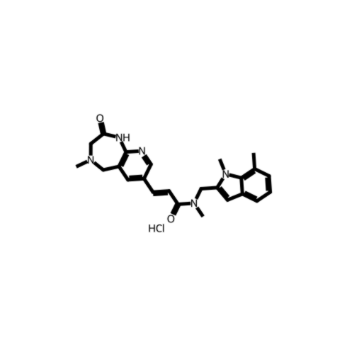 Cc1cccc2cc(CN(C)C(=O)/C=C/c3cnc4c(c3)CN(C)CC(=O)N4)n(C)c12.Cl